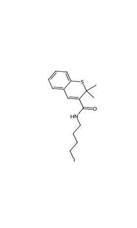 CC1(C)Sc2ccccc2C=C1C(=O)NCCCCI